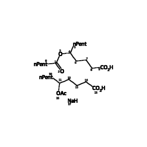 CCCCCC(=O)OC(CCCCC)CCCC(=O)O.CCCCCC(CCCC(=O)O)OC(C)=O.[NaH]